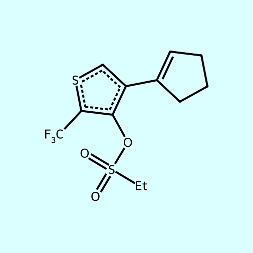 CCS(=O)(=O)Oc1c(C2=CCCC2)csc1C(F)(F)F